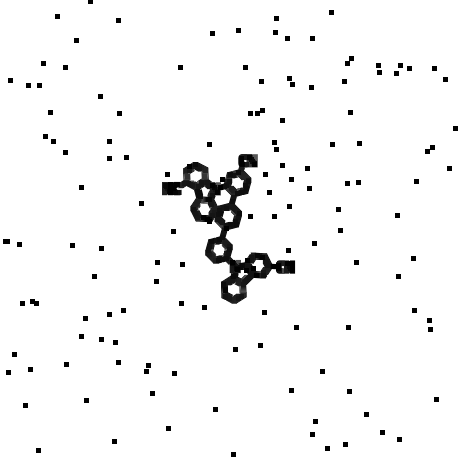 N#Cc1ccc(-c2ccc(-c3cccc(-n4c5ccccc5c5cc(C#N)ccc54)c3)cc2)c(-n2c3ccccc3c3c(C#N)cccc32)c1